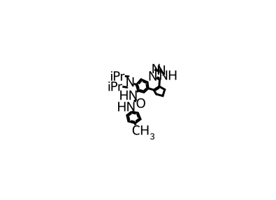 Cc1ccc(NC(=O)Nc2cc(C3=C(c4nnn[nH]4)CCC3)ccc2N(CC(C)C)CC(C)C)cc1